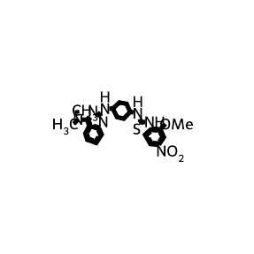 COc1cc([N+](=O)[O-])ccc1NC(=S)NC1CCC(Nc2nc(N(C)C)c3ccccc3n2)CC1